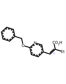 CC/C(=C/c1ccc(OCc2ccccc2)nc1)C(=O)O